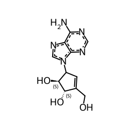 Nc1ncnc2c1ncn2C1C=C(CO)[C@H](O)[C@H]1O